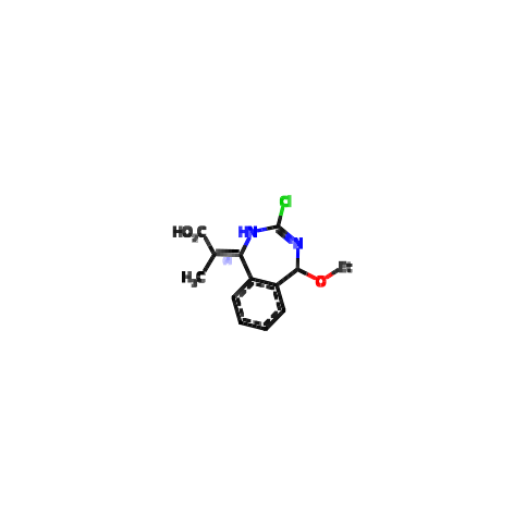 CCOC1N=C(Cl)N/C(=C(/C)C(=O)O)c2ccccc21